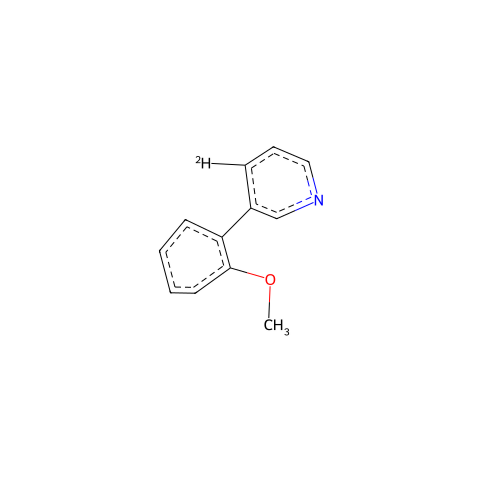 [2H]c1ccncc1-c1ccccc1OC